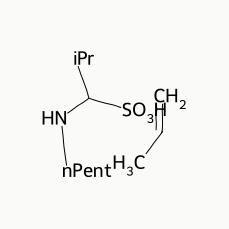 C=CC.CCCCCNC(C(C)C)S(=O)(=O)O